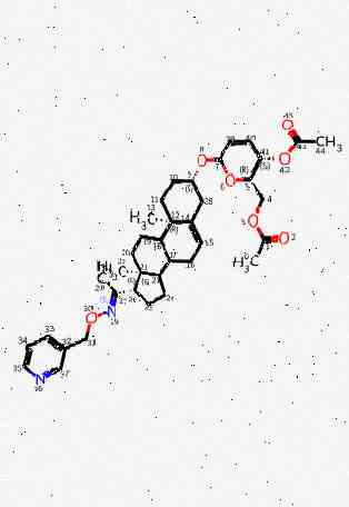 CC(=O)OC[C@H]1OC(O[C@H]2CC[C@@]3(C)C(=CCC4C3CC[C@@]3(C)C4CC[C@@H]3/C(C)=N/OCc3cccnc3)C2)C=C[C@@H]1OC(C)=O